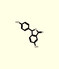 O=C1OC(c2ccc(O)cc2)c2ccc(O)cc21